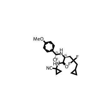 COc1ccc([C@H](N[C@@H](CC(F)(F)CC2CC2)C(=O)NC2(C#N)CC2)C(F)(F)F)cc1